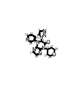 O=C1C(n2ccnn2)N(c2cccnc2)c2nccnc2N1C1CCOCC1